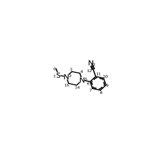 CSN1CCN(c2ccccc2C#N)CC1